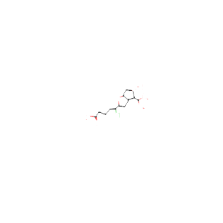 COC(=O)CCCC(Cl)C1CC2C(CC(O)C2C(OC)OC)O1